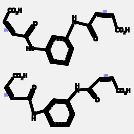 O=C(O)/C=C\C(=O)Nc1cccc(NC(=O)/C=C\C(=O)O)c1.O=C(O)/C=C\C(=O)Nc1cccc(NC(=O)/C=C\C(=O)O)c1